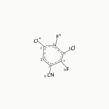 N#Cc1cc(Cl)c(F)c(Cl)c1F